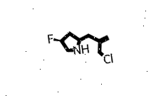 C=C(CCl)CC1C[C@H](F)CN1